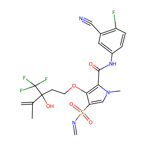 C=NS(=O)(=O)c1cn(C)c(C(=O)Nc2ccc(F)c(C#N)c2)c1OCCC(O)(C(=C)C)C(F)(F)F